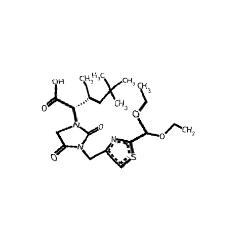 CCOC(OCC)c1nc(CN2C(=O)CN([C@H](C(=O)O)C(C)CC(C)(C)C)C2=O)cs1